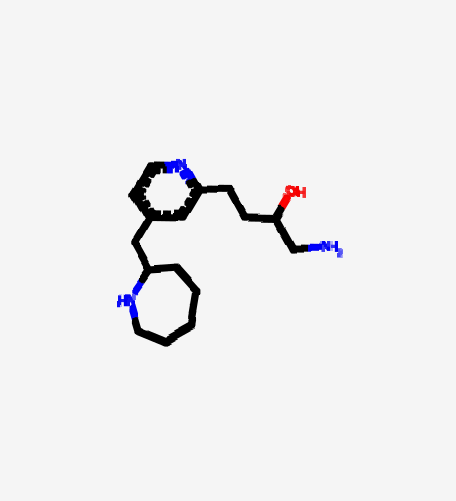 NCC(O)CCc1cc(CC2CCCCCN2)ccn1